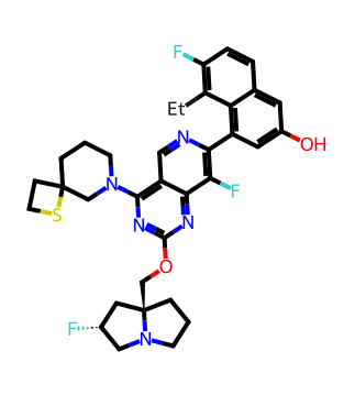 CCc1c(F)ccc2cc(O)cc(-c3ncc4c(N5CCCC6(CCS6)C5)nc(OC[C@@]56CCCN5C[C@H](F)C6)nc4c3F)c12